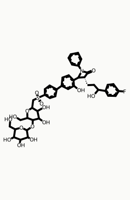 O=C1[C@H](CCC(O)c2ccc(F)cc2)C(c2ccc(-c3ccc(S(=O)(=O)CC4OC(CO)C(OC5OC(CO)C(O)C(O)C5O)C(O)C4O)cc3)cc2O)N1c1ccccc1